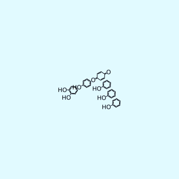 O=C1C=CC(=O)C=C1.Oc1ccccc1.Oc1ccccc1.Oc1ccccc1.Oc1ccccc1.Oc1ccccc1O